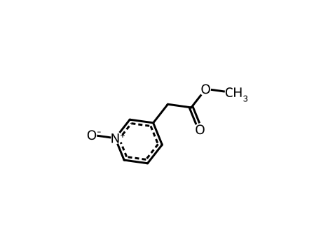 COC(=O)Cc1ccc[n+]([O-])c1